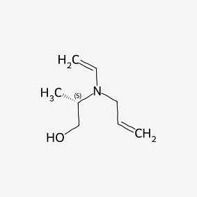 C=CCN(C=C)[C@@H](C)CO